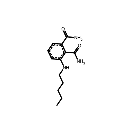 CCCCCNc1cccc(C(N)=O)c1C(N)=O